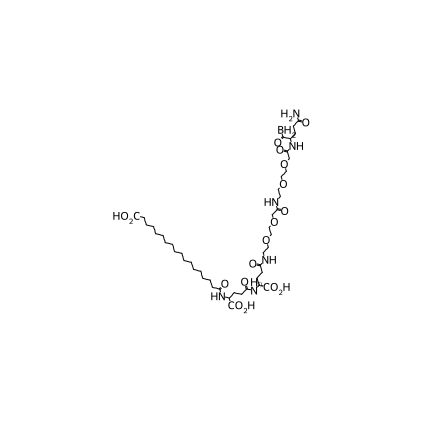 BC(=O)C(CCC(N)=O)NC(=O)COCCOCCNC(=O)COCCOCCNC(=O)CC[C@H](NC(=O)CCC(NC(=O)CCCCCCCCCCCCCCCCC(=O)O)C(=O)O)C(=O)O